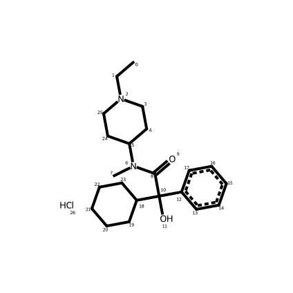 CCN1CCC(N(C)C(=O)C(O)(c2ccccc2)C2CCCCC2)CC1.Cl